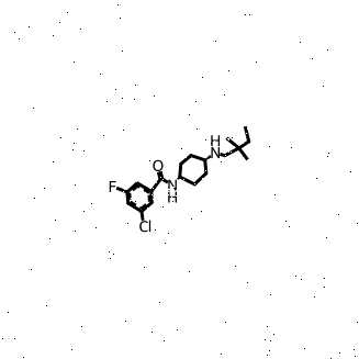 CCC(C)(C)CN[C@H]1CC[C@H](NC(=O)c2cc(F)cc(Cl)c2)CC1